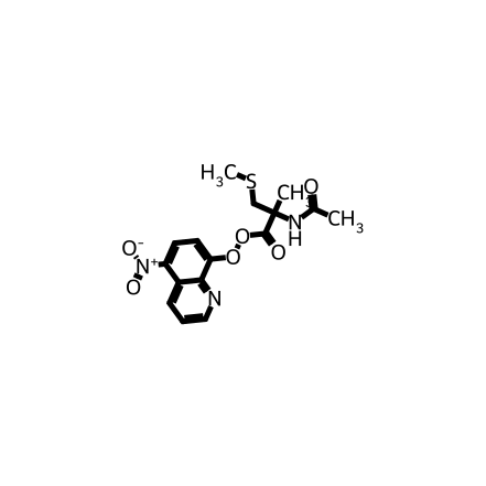 CSCC(C)(NC(C)=O)C(=O)OOc1ccc([N+](=O)[O-])c2cccnc12